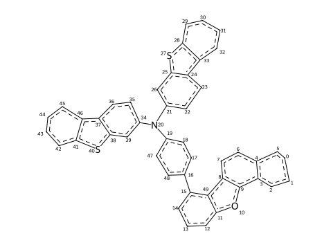 c1ccc2c(c1)ccc1c2oc2cccc(-c3ccc(N(c4ccc5c(c4)sc4ccccc45)c4ccc5c(c4)sc4ccccc45)cc3)c21